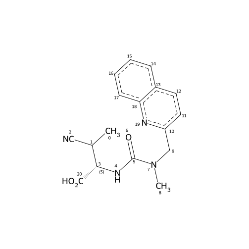 CC(C#N)[C@H](NC(=O)N(C)Cc1ccc2ccccc2n1)C(=O)O